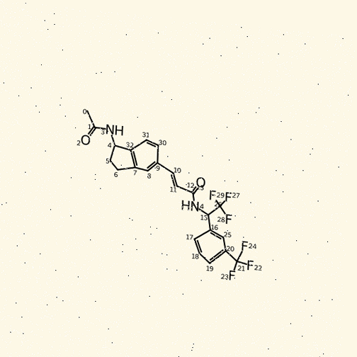 CC(=O)NC1CCc2cc(C=CC(=O)NC(c3cccc(C(F)(F)F)c3)C(F)(F)F)ccc21